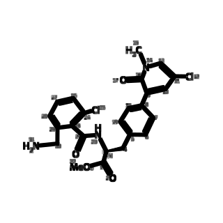 COC(=O)[C@H](Cc1ccc(-c2cc(Cl)cn(C)c2=O)cc1)NC(=O)c1c(Cl)cccc1CN